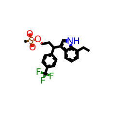 CCc1cccc2c(C(CCOS(C)(=O)=O)c3ccc(C(F)(F)F)cc3)c[nH]c12